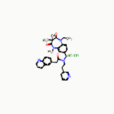 CCN1C(=O)C(C)(C)C(=O)N(C)c2cc(CN(CCc3cccnc3)C(=O)Cc3ccc4ncccc4c3)ccc21.Cl.Cl